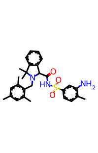 Cc1cc(C)c(CN2C(C(=O)NS(=O)(=O)c3ccc(C)c(N)c3)c3ccccc3C2(C)C)c(C)c1